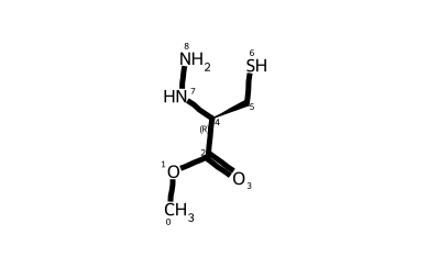 COC(=O)[C@H](CS)NN